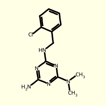 CN(C)c1nc(N)nc(NCc2ccccc2Cl)n1